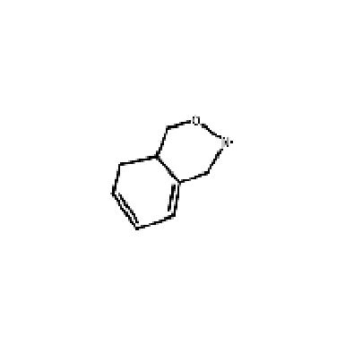 C1=CCC2CO[N]CC2=C1